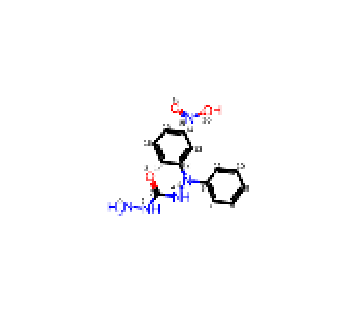 NNC(=O)NN(c1ccccc1)c1ccccc1.O=NO